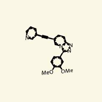 COc1ccc(-c2nnc3ccc(C#Cc4cccnc4)cn23)cc1OC